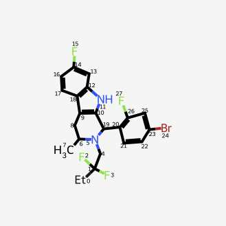 CCC(F)(F)CN1C(C)Cc2c([nH]c3cc(F)ccc23)C1c1ccc(Br)cc1F